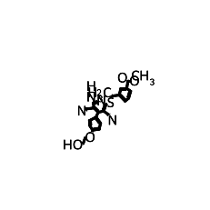 COC(=O)c1cccc(C(C)Sc2nc(N)c(C#N)c(-c3ccc(OCCO)cc3)c2C#N)c1